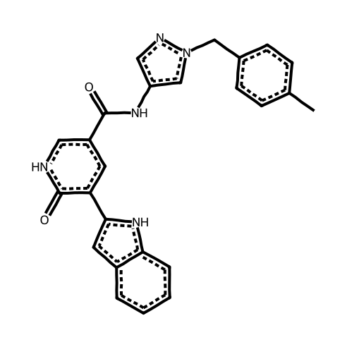 Cc1ccc(Cn2cc(NC(=O)c3c[nH]c(=O)c(-c4cc5ccccc5[nH]4)c3)cn2)cc1